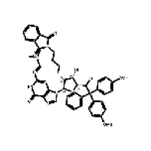 COc1ccc(C(c2ccccc2)(c2ccc(OC)cc2)C(O)[C@H]2O[C@@H](n3cnc4c(=O)[nH]c(N=CN(C)C)nc43)[C@H](OCCCN3C(=O)c4ccccc4C3=O)[C@@H]2O)cc1